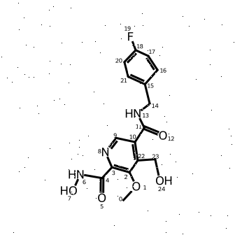 COc1c(C(=O)NO)ncc(C(=O)NCc2ccc(F)cc2)c1CO